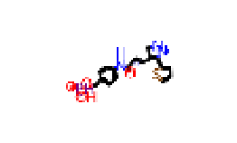 Cn1ncc(/C=C/C(=O)Nc2ccc(CO[PH](=O)O)cc2)c1-c1cccs1